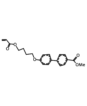 C=CC(=O)OCCCCOc1ccc(-c2ccc(C(=O)OC)cc2)cc1